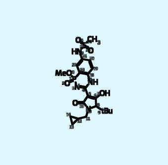 COP1(=O)N=C(C2=C(O)C(C(C)(C)C)N(CC3CC3)C2=O)Nc2ccc(NS(C)(=O)=O)cc21